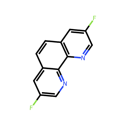 Fc1cnc2c(ccc3cc(F)cnc32)c1